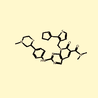 CN1CCSC(c2ccc(Nc3ncc4cc(C(=O)N(C)C)c(=O)n(Cc5ccsc5C5=CCCC5)c4n3)cc2)C1